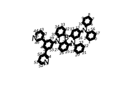 c1ccc(N(c2ccccc2)c2ccc3c(c2)N(c2ccccc2)c2cccc4c2B3c2ccccc2N4c2cc(-c3cccnc3)cc(-c3cccnc3)c2)cc1